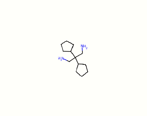 NCC(CN)(C1CCCC1)C1CCCC1